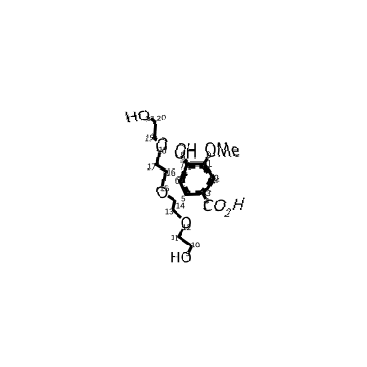 COc1cc(C(=O)O)ccc1O.OCCOCCOCCOCCO